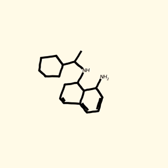 CC(NC1CC=CC2=CC=CC(N)C21)C1CCCCC1